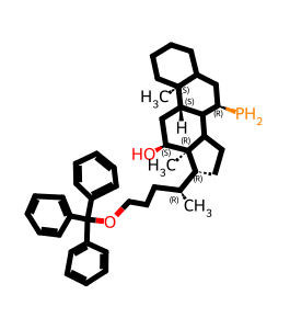 C[C@H](CCCOC(c1ccccc1)(c1ccccc1)c1ccccc1)[C@H]1CCC2C3[C@H](P)CC4CCCC[C@]4(C)[C@H]3C[C@H](O)[C@@]21C